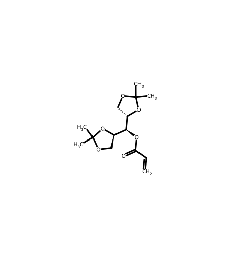 C=CC(=O)O[C@H]([C@@H]1COC(C)(C)O1)[C@H]1COC(C)(C)O1